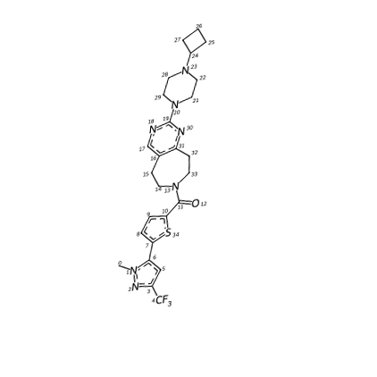 Cn1nc(C(F)(F)F)cc1-c1ccc(C(=O)N2CCc3cnc(N4CCN(C5CCC5)CC4)nc3CC2)s1